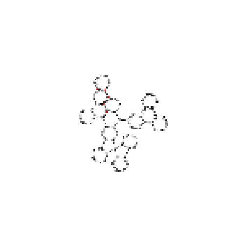 c1ccc(-c2ccc(N(c3ccc4c5ccccc5c5ccccc5c4c3)c3cc4c(cc3-c3cc5ccccc5c5ccccc35)-c3ccccc3C43c4ccccc4-c4ccccc43)cc2)cc1